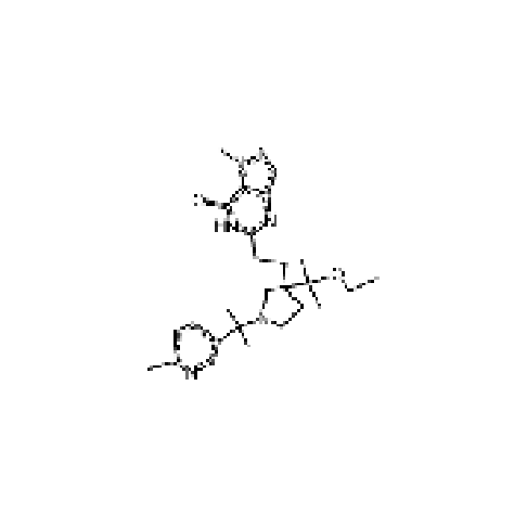 CCOC(C)(C)[C@]1(CCc2nc3cnn(C)c3c(=O)[nH]2)CCN(C(C)(C)c2ccc(C)nc2)C1